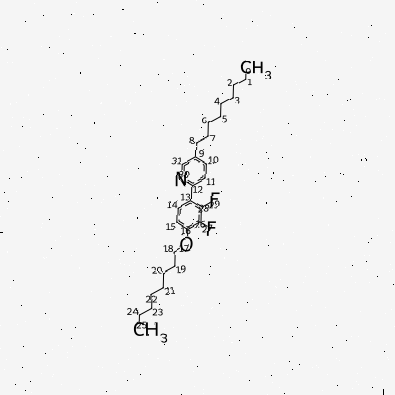 CCCCCCCCCc1ccc(-c2ccc(OCCCCCCCC)c(F)c2F)nc1